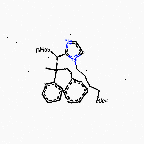 CCCCCCCCCCCCCCn1ccnc1C(CCCCCC)C(C)(Cc1ccccc1)c1ccccc1